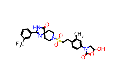 Cc1cc(N2C[C@H](O)OC2=O)ccc1CCS(=O)(=O)N1CCC2(CC1)N=C(c1cccc(C(F)(F)F)c1)NC2=O